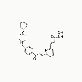 O=C(C=Cc1cccc(C=CC(=O)c2ccc(CN3CCN(c4ccccc4)CC3)cc2)n1)NO